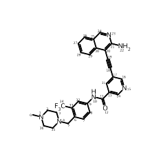 CN1CCN(Cc2ccc(NC(=O)c3cncc(C#Cc4c(N)ncc5ccccc45)c3)cc2C(F)(F)F)CC1